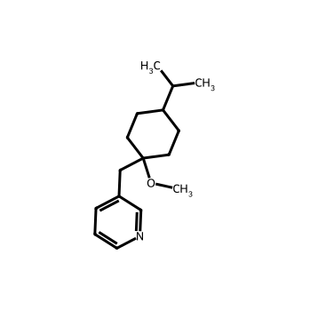 COC1(Cc2cccnc2)CCC(C(C)C)CC1